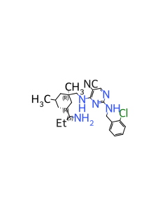 CC[C@H](N)[C@@H]1CC(C)C[C@@](C)(CNc2nc(NCc3ccccc3Cl)ncc2C#N)C1